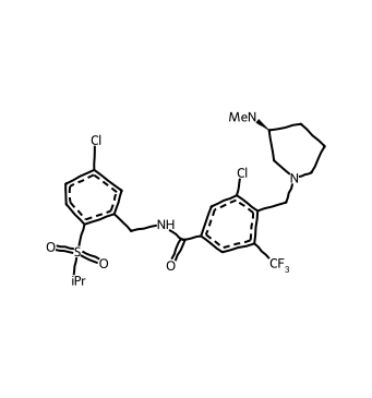 CN[C@H]1CCCN(Cc2c(Cl)cc(C(=O)NCc3cc(Cl)ccc3S(=O)(=O)C(C)C)cc2C(F)(F)F)C1